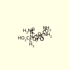 C[C@H](NC(=O)[C@H](CCC(N)=O)NC(=O)[C@@H]1CCCN1C(=O)[C@@H](N)CC(N)=O)C(=O)O